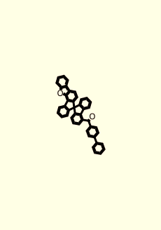 O=C(c1ccc(-c2ccccc2)cc1)c1cccc2c1-c1ccccc1C21c2ccccc2-c2c1ccc1c2oc2ccccc21